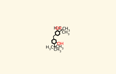 CC(C)(C)c1ccc(Cc2ccc(C(C)(C)C)c(O)c2)cc1O